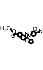 CCCOC(=O)c1ccc2c(c1)CC[C@H]1C2=NN(c2ccc(C#N)c(Cl)c2)[C@H]1C1CCCC1